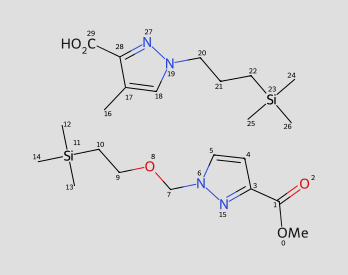 COC(=O)c1ccn(COCC[Si](C)(C)C)n1.Cc1cn(CCC[Si](C)(C)C)nc1C(=O)O